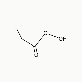 O=C(CI)OO